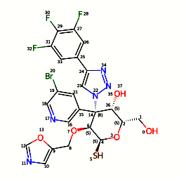 OC[C@@H]1O[C@@H](S)[C@@H](OCc2cnco2)[C@](c2cncc(Br)c2)(n2cc(-c3cc(F)c(F)c(F)c3)nn2)[C@@H]1O